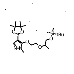 CC(CO[Si](C)(C)C(C)(C)C)OCCOc1c(B2OC(C)(C)C(C)(C)O2)cnn1C